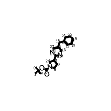 CC(C)(C)OC(=O)N1CCC(c2ncc(Cc3ccccc3)cn2)C1